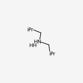 CC(C)CNCC(C)C.[HH]